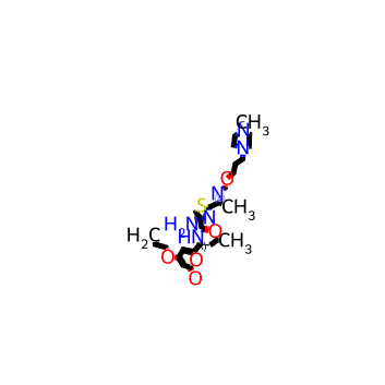 C=CCOc1cc([C@@H](CCC)NC(=O)[C@]2(N)CSC(/C(C)=N/COCCCN3CCN(C)CC3)=N2)oc(=O)c1